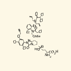 C#CCOc1cc(-n2nc3n(c2=O)CCCC3)c(Cl)cc1Cl.C=CCN(CC=C)C(=O)C(Cl)Cl.CCc1cccc(CC)c1N(COC)C(=O)CCl.CP(=O)(O)CCC(N)C(=O)O